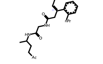 C/C=C(/CC(=O)NCC(=O)NC(C)CCC(C)=O)c1ccccc1CCC